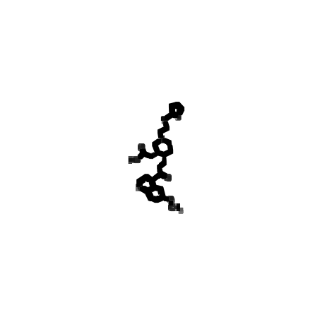 COc1ccc2nccc(C(=O)CC[C@@H]3CCN(CCSc4cccs4)C[C@@H]3CC(=O)O)c2c1